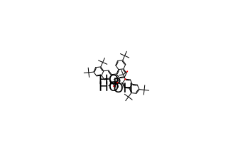 CC(C)(C)c1cc(C(C)(C)C)c2cc(-c3c(P(O)(O)(O)c4cc5c(C(C)(C)C)cc(C(C)(C)C)cc5cc4C(C)(C)C)ccc4cc(C(C)(C)C)ccc34)c(C(C)(C)C)cc2c1